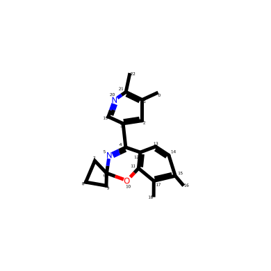 Cc1cc(C2=NC3(CCC3)Oc3c2ccc(C)c3C)cnc1C